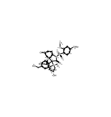 CNC(=O)[C@@H]1C[C@@H](O)C[N+]1(C)C1(c2ccc(CO)cc2OC)C(=O)N(S(=O)(=O)c2ccc(OC)cc2OC(F)(F)F)c2ccc(Cl)cc21